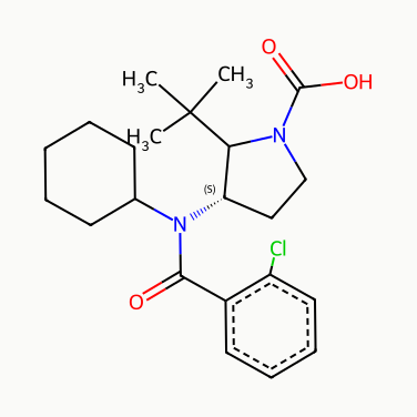 CC(C)(C)C1[C@@H](N(C(=O)c2ccccc2Cl)C2CCCCC2)CCN1C(=O)O